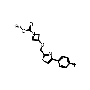 CC(C)(C)OC(=O)N1CC(OCc2nc(-c3ccc(F)cc3)cs2)C1